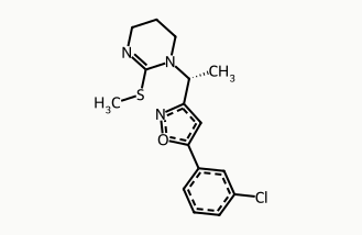 CSC1=NCCCN1[C@H](C)c1cc(-c2cccc(Cl)c2)on1